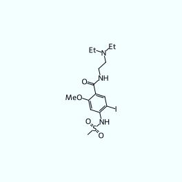 CCN(CC)CCNC(=O)c1cc(I)c(NS(C)(=O)=O)cc1OC